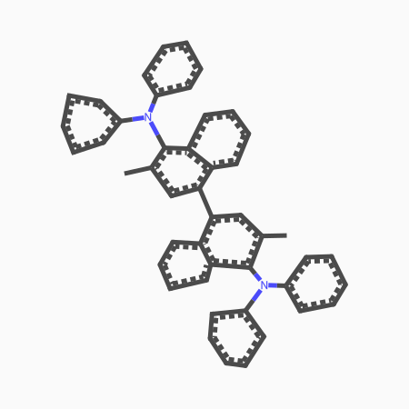 Cc1cc(-c2cc(C)c(N(c3ccccc3)c3ccccc3)c3ccccc23)c2ccccc2c1N(c1ccccc1)c1ccccc1